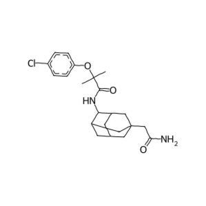 CC(C)(Oc1ccc(Cl)cc1)C(=O)NC1C2CC3CC1CC(CC(N)=O)(C3)C2